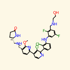 COc1nc(-c2ccnc(-c3cccc(Nc4cc(F)cc(CNCCO)c4F)c3Cl)c2Cl)ccc1CNC[C@@H]1CCC(=O)N1